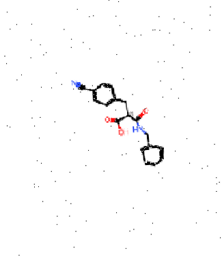 N#Cc1ccc(C[C@H](C(=O)O)C(=O)NCc2ccccc2)cc1